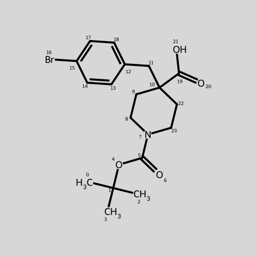 CC(C)(C)OC(=O)N1CCC(Cc2ccc(Br)cc2)(C(=O)O)CC1